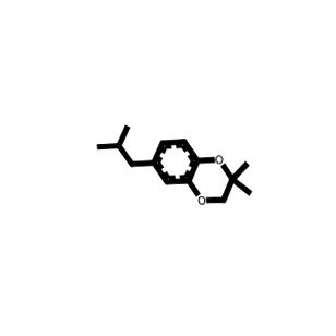 CC(C)Cc1ccc2c(c1)OCC(C)(C)O2